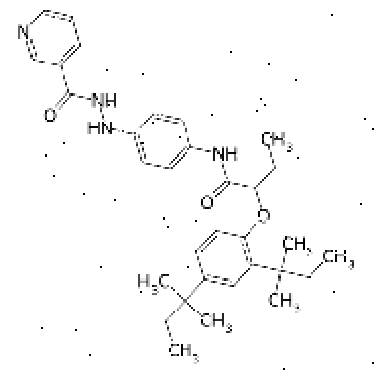 CCC(Oc1ccc(C(C)(C)CC)cc1C(C)(C)CC)C(=O)Nc1ccc(NNC(=O)c2cccnc2)cc1